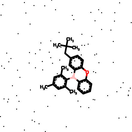 Cc1cc(C)c(B2c3ccccc3Oc3ccc(CC(C)(C)C)cc32)c(C)c1